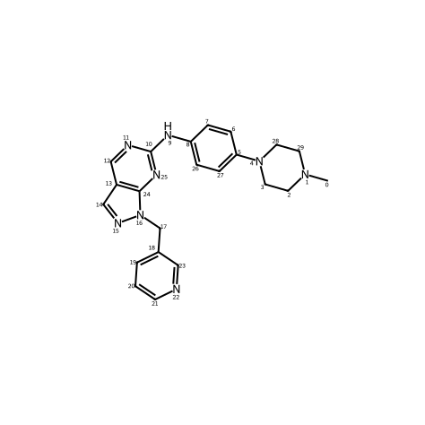 CN1CCN(c2ccc(Nc3ncc4cnn(Cc5cccnc5)c4n3)cc2)CC1